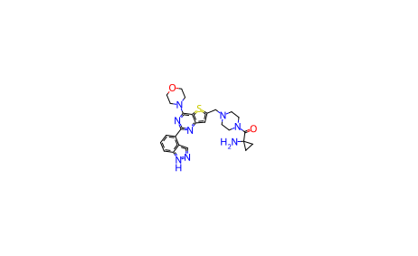 NC1(C(=O)N2CCN(Cc3cc4nc(-c5cccc6[nH]ncc56)nc(N5CCOCC5)c4s3)CC2)CC1